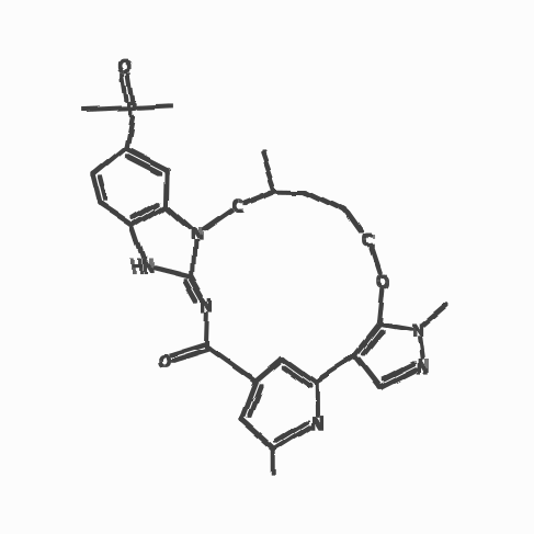 Cc1cc2cc(n1)-c1cnn(C)c1OCCCC(C)CN1/C(=N/C2=O)Nc2ccc(P(C)(C)=O)cc21